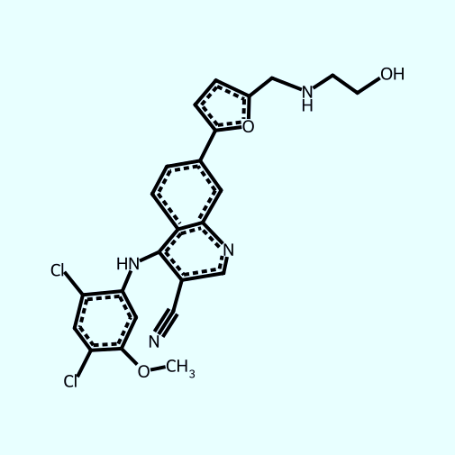 COc1cc(Nc2c(C#N)cnc3cc(-c4ccc(CNCCO)o4)ccc23)c(Cl)cc1Cl